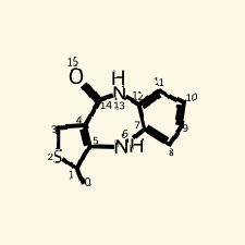 CC1SCC2=C1Nc1ccccc1NC2=O